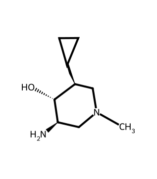 CN1C[C@@H](N)[C@H](O)[C@@H](C2CC2)C1